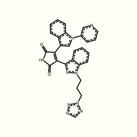 O=C1NC(=O)C(c2nn(CCCn3ncnn3)c3ccccc23)=C1c1cn(-c2cccnc2)c2ccccc12